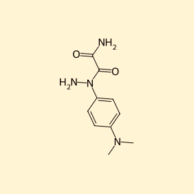 CN(C)c1ccc(N(N)C(=O)C(N)=O)cc1